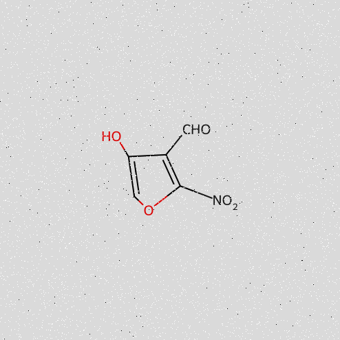 O=Cc1c(O)coc1[N+](=O)[O-]